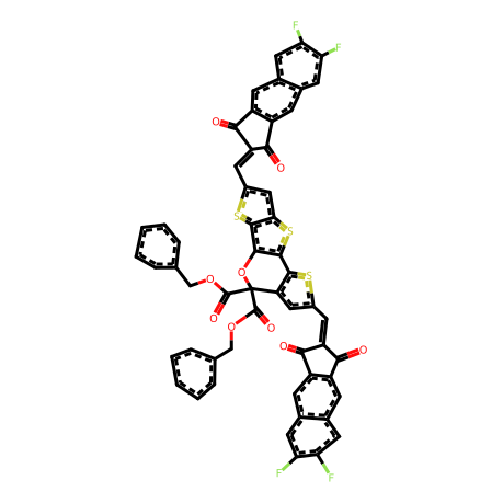 O=C1C(=Cc2cc3c(s2)-c2sc4cc(C=C5C(=O)c6cc7cc(F)c(F)cc7cc6C5=O)sc4c2OC3(C(=O)OCc2ccccc2)C(=O)OCc2ccccc2)C(=O)c2cc3cc(F)c(F)cc3cc21